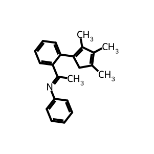 CC1=C(C)C(C)=C(c2ccccc2/C(C)=N/c2ccccc2)C1